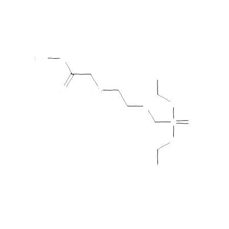 CCOP(=O)(CSCCNCC(=O)OC)OCC